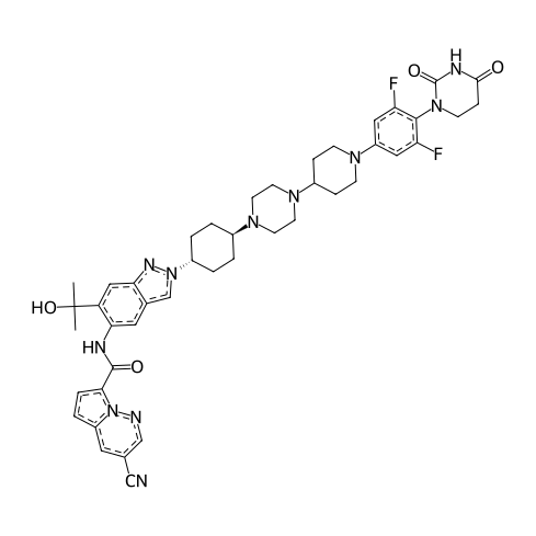 CC(C)(O)c1cc2nn([C@H]3CC[C@H](N4CCN(C5CCN(c6cc(F)c(N7CCC(=O)NC7=O)c(F)c6)CC5)CC4)CC3)cc2cc1NC(=O)c1ccc2cc(C#N)cnn12